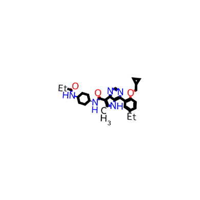 CCC(=O)N[C@H]1CC[C@H](NC(=O)c2c(C)[nH]c3c(-c4cc(CC)ccc4OCC4CC4)ncnc23)CC1